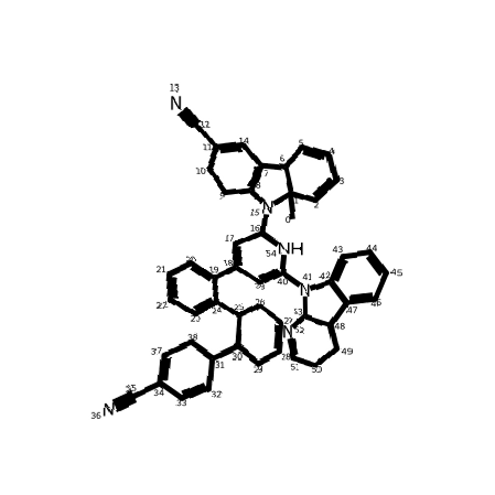 CC12C=CC=CC1C1=C(CCC(C#N)=C1)N2C1C=C(c2ccccc2C2CC=CCC2C2C=CC(C#N)=CC2)C=C(N2c3ccccc3C3CCC=NC32)N1